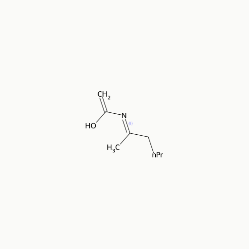 C=C(O)/N=C(\C)CCCC